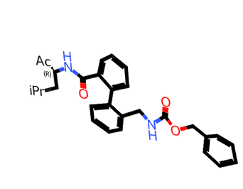 CC(=O)[C@@H](CC(C)C)NC(=O)c1ccccc1-c1ccccc1CNC(=O)OCc1ccccc1